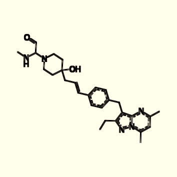 CCc1nn2c(C)cc(C)nc2c1Cc1ccc(/C=C/CC2(O)CCN(C(C=O)NC)CC2)cc1